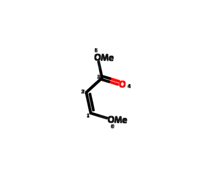 CO/C=C\C(=O)OC